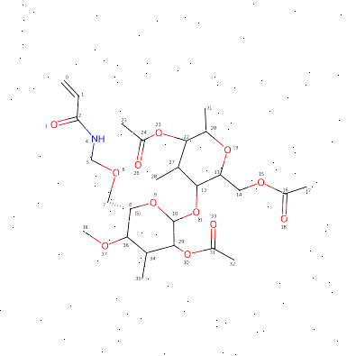 C=CC(=O)NCOC[C@@H]1OC(OC2C(COC(C)=O)OC(C)C(OC(C)=O)C2C)C(OC(C)=O)C(C)C1OC